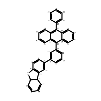 C1=CC2Oc3ccc(-c4cccc(-c5c6ccccc6c(-c6ccccc6)c6ccccc56)c4)cc3C2C=C1